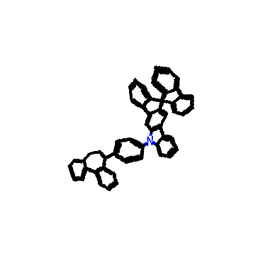 c1ccc2c(c1)CCC(c1ccc(-n3c4ccccc4c4cc5c(cc43)-c3ccccc3C53c4ccccc4-c4ccccc43)cc1)c1ccccc1-2